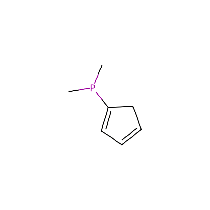 CP(C)C1=CC=CC1